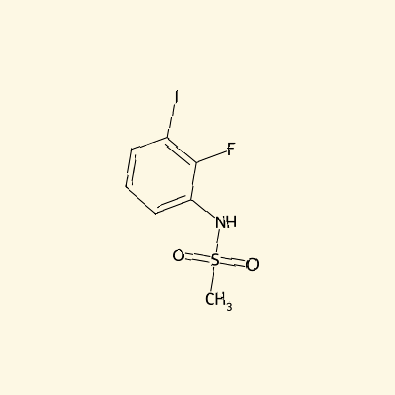 CS(=O)(=O)Nc1cccc(I)c1F